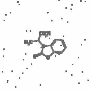 CC(C(=O)O)n1c(=S)oc2ccccc21